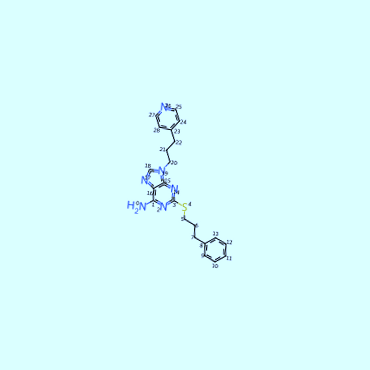 Nc1nc(SCCCc2ccccc2)nc2c1ncn2CCCc1ccncc1